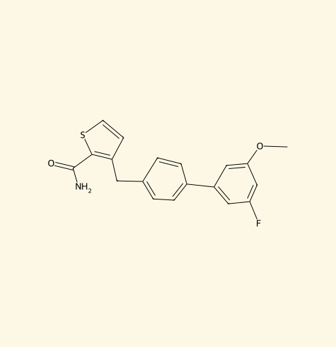 COc1cc(F)cc(-c2ccc(Cc3ccsc3C(N)=O)cc2)c1